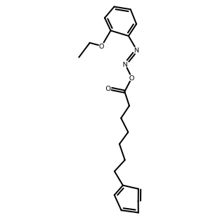 CCOc1ccccc1N=NOC(=O)CCCCCCc1ccccc1